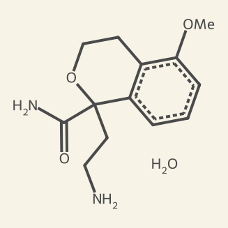 COc1cccc2c1CCOC2(CCN)C(N)=O.O